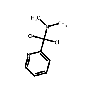 CN(C)C(Cl)(Cl)c1ccccn1